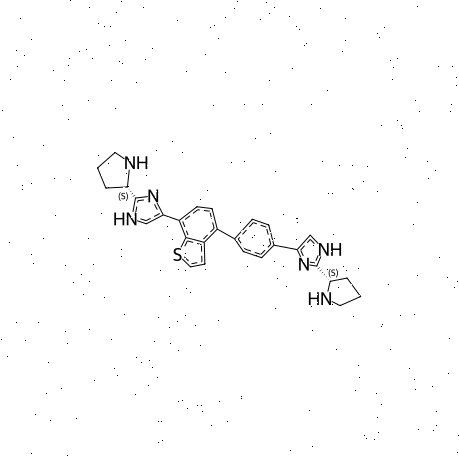 c1cc2c(-c3ccc(-c4c[nH]c([C@@H]5CCCN5)n4)cc3)ccc(-c3c[nH]c([C@@H]4CCCN4)n3)c2s1